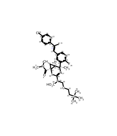 CN(C)C(=O)[C@]12C[C@H]1[C@@](C)(c1cc(/C=C(\F)c3ccc(Cl)cn3)cnc1F)N=C(N(COCC[Si](C)(C)C)C(=O)O)S2